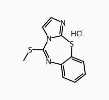 CSC1=Nc2ccccc2Sc2nccn21.Cl